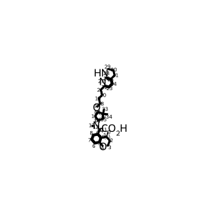 C[C@H]1CCOc2cccc([C@@H](C(=O)O)N(C)[C@@H]3C[C@@H](OCCCCc4ccc5c(n4)NCCC5)C(C)(C)C3)c21